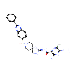 Nc1nc(N)c(C(=O)/N=C2\NCC3(CCN([S+]([O-])c4ccc5nc(-c6ccccc6)[nH]c5c4)CC3)N2)nc1Cl